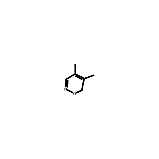 CC1=C(C)CON=C1